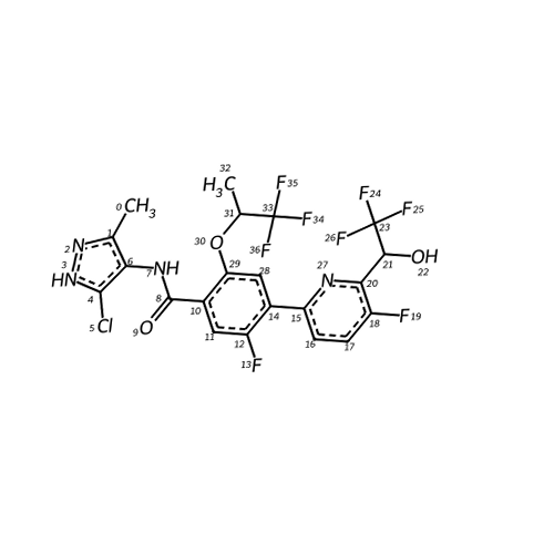 Cc1n[nH]c(Cl)c1NC(=O)c1cc(F)c(-c2ccc(F)c(C(O)C(F)(F)F)n2)cc1OC(C)C(F)(F)F